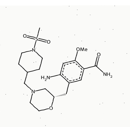 COc1cc(N)c(C[C@H]2CN(CC3CCN(S(C)(=O)=O)CC3)CCO2)cc1C(N)=O